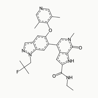 CCNC(=O)c1cc2c(-c3cc4c(cnn4CC(C)(C)F)cc3Oc3c(C)cncc3C)cn(C)c(=O)c2[nH]1